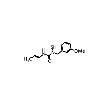 CC=CNC(=O)N(S)Cc1cccc(OC)c1